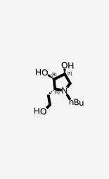 CCCCN1C[C@H](O)[C@H](O)[C@H]1CCO